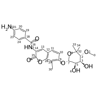 CO[C@@H]1[C@@H](O)[C@@H](O)[C@H](Oc2ccc3cc(NC(=O)c4ccc(N)cc4)c(=O)oc3c2C)OC1(C)C